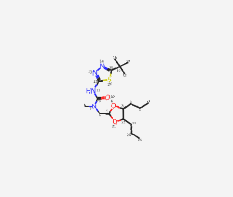 CCCC1OC(CN(C)C(=O)Nc2nnc(C(C)(C)C)s2)OC1CCC